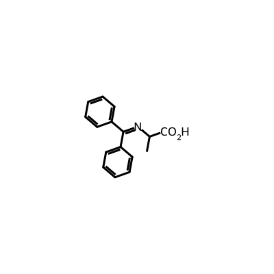 CC(N=C(c1ccccc1)c1ccccc1)C(=O)O